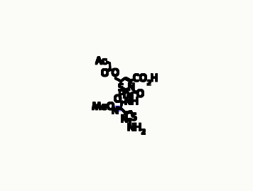 CO/N=C(\C(=O)N[C@@H]1C(=O)N2C(C(=O)O)=CC(COC(=O)CC(C)=O)S[C@@H]12)c1csc(N)n1